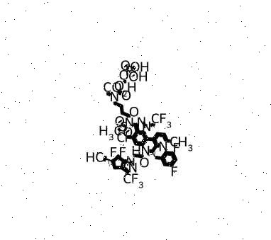 C#C[C@@H]1Cc2c(C(F)(F)F)nn(CC(=O)N[C@@H](Cc3cc(F)cc(F)c3)c3nc(C)ccc3-c3ccc(Cl)c4c(N(C(=O)CCCN(CC(=O)O)C(=O)OCOP(=O)(O)O)S(C)(=O)=O)nn(CC(F)(F)F)c34)c2C1(F)F